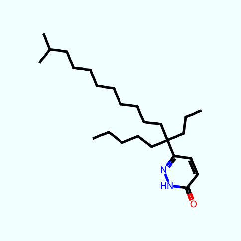 CCCCCC(CCC)(CCCCCCCCCC(C)C)c1ccc(=O)[nH]n1